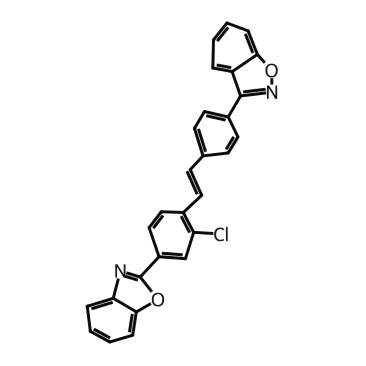 Clc1cc(-c2nc3ccccc3o2)ccc1/C=C/c1ccc(-c2noc3ccccc23)cc1